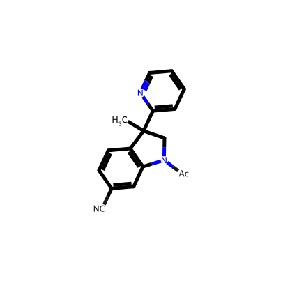 CC(=O)N1CC(C)(c2ccccn2)c2ccc(C#N)cc21